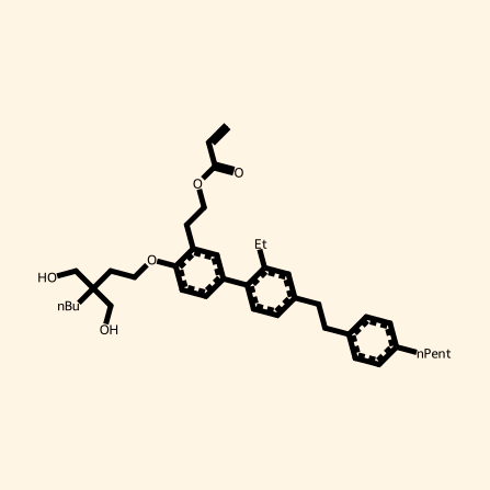 C=CC(=O)OCCc1cc(-c2ccc(CCc3ccc(CCCCC)cc3)cc2CC)ccc1OCCC(CO)(CO)CCCC